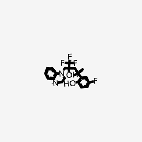 CC(C)(CC(O)(CN1CC[N]c2ccccc21)C(F)(F)F)c1cc(F)ccc1O